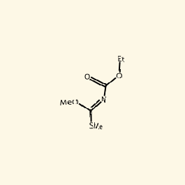 CCOC(=O)/N=C(\OC)SC